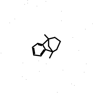 CC12CCCC(C)(C1)c1ccccc12